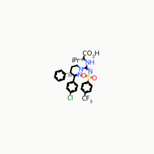 CC(C)[C@@H](N/C(=N/S(=O)(=O)c1ccc(C(F)(F)F)cc1)N1CC[C@@H](c2ccccc2)C(c2ccc(Cl)cc2)=N1)C(=O)O